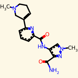 CN1CCC=C(c2cccc(C(=O)Nc3cn(C)nc3C(N)=O)n2)C1